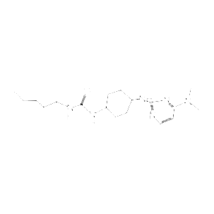 CCCCCNC(=O)NC1CCC(Nc2nccc(N(C)C)n2)CC1